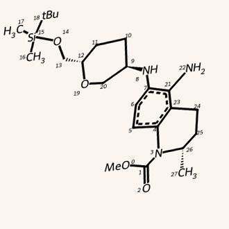 COC(=O)N1c2ccc(N[C@@H]3CC[C@@H](CO[Si](C)(C)C(C)(C)C)OC3)c(N)c2CC[C@@H]1C